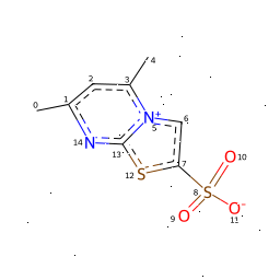 Cc1cc(C)[n+]2cc(S(=O)(=O)[O-])sc2n1